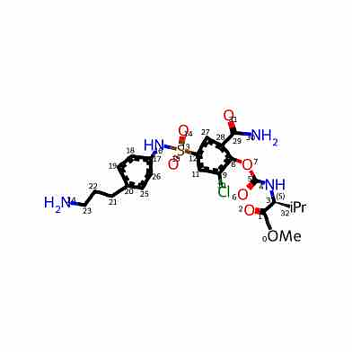 COC(=O)[C@@H](NC(=O)Oc1c(Cl)cc(S(=O)(=O)Nc2ccc(CCCN)cc2)cc1C(N)=O)C(C)C